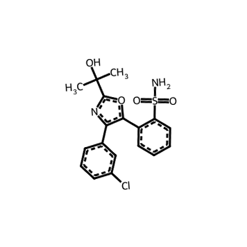 CC(C)(O)c1nc(-c2cccc(Cl)c2)c(-c2ccccc2S(N)(=O)=O)o1